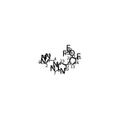 Cn1cc(Cn2ncc3ncc(-c4ccc(F)c(OC(F)F)c4)cc32)nn1